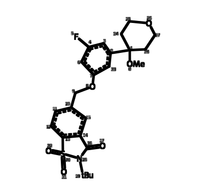 COC1(c2cc(F)cc(OCc3ccc4c(c3)C(=O)N(C(C)(C)C)S4(=O)=O)c2)CCOCC1